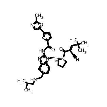 Cc1ncc(-c2ccc(C(=O)Nc3nc4cc(CNCC(C)C)ccc4n3C[C@H]3CCCN3C(=O)C(C#N)=CC(C)(C)C)s2)o1